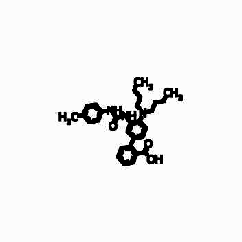 CCCCN(CCCC)c1ccc(-c2ccccc2C(=O)O)cc1NC(=O)Nc1ccc(C)cc1